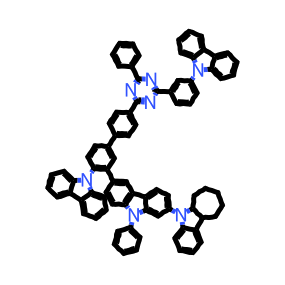 c1ccc(-c2nc(-c3ccc(-c4ccc(-n5c6ccccc6c6ccccc65)c(-c5ccc6c(c5)c5ccc(N7c8ccccc8C8CCCCCC87)cc5n6-c5ccccc5)c4)cc3)nc(-c3cccc(-n4c5ccccc5c5ccccc54)c3)n2)cc1